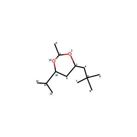 CC1OC(CC(C)(C)C)CC(C(C)C)O1